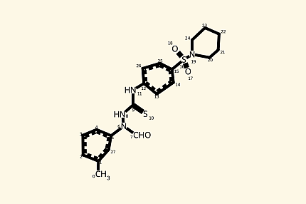 Cc1cccc(N(C=O)NC(=S)Nc2ccc(S(=O)(=O)N3CCCCC3)cc2)c1